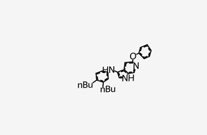 CCCCc1ccc(Nc2c[nH]c3cnc(Oc4ccccc4)cc23)cc1CCCC